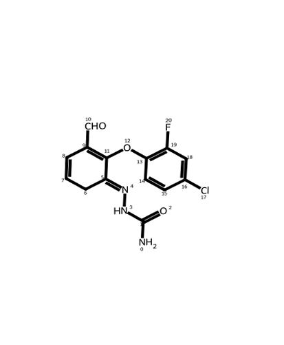 NC(=O)NN=C1CC=CC(C=O)=C1Oc1ccc(Cl)cc1F